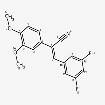 COc1ccc(C(C#N)=Cc2cc(F)cc(F)c2)cc1OC